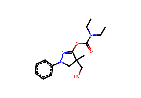 CCN(CC)C(=O)OC1=NN(c2ccccc2)CC1(C)CO